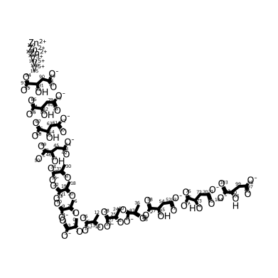 CC(=O)C(=O)[O-].CC(=O)C(=O)[O-].CC(=O)C(=O)[O-].CC(=O)C(=O)[O-].CC(=O)C(=O)[O-].CC(=O)C(=O)[O-].CC(=O)C(=O)[O-].O=C([O-])CC(O)C(=O)[O-].O=C([O-])CC(O)C(=O)[O-].O=C([O-])CC(O)C(=O)[O-].O=C([O-])CC(O)C(=O)[O-].O=C([O-])CC(O)C(=O)[O-].O=C([O-])CC(O)C(=O)[O-].O=C([O-])CC(O)C(=O)[O-].[V+5].[V+5].[V+5].[Zn+2].[Zn+2].[Zn+2]